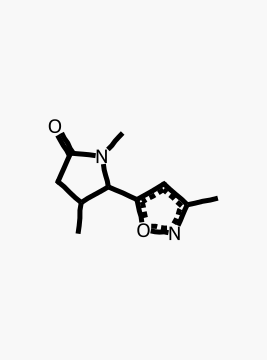 Cc1cc(C2C(C)CC(=O)N2C)on1